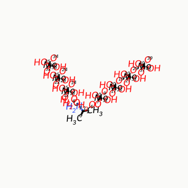 CC(C)N.O.O.O.[O]=[Mo](=[O])([OH])[OH].[O]=[Mo](=[O])([OH])[OH].[O]=[Mo](=[O])([OH])[OH].[O]=[Mo](=[O])([OH])[OH].[O]=[Mo](=[O])([OH])[OH].[O]=[Mo](=[O])([OH])[OH].[O]=[Mo](=[O])([OH])[OH]